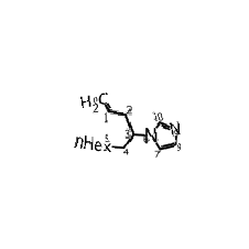 C=CCC(CCCCCCC)n1ccnc1